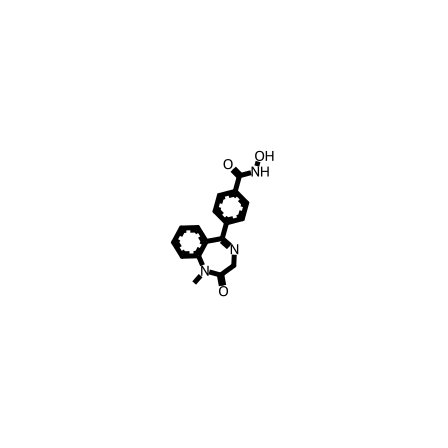 CN1C(=O)CN=C(c2ccc(C(=O)NO)cc2)c2ccccc21